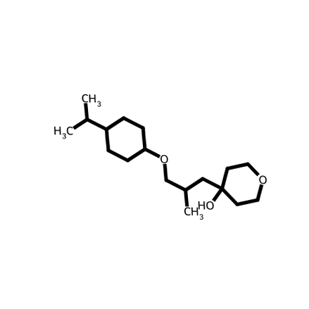 CC(COC1CCC(C(C)C)CC1)CC1(O)CCOCC1